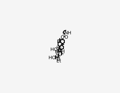 CCO[C@@H]([C@H]1C[C@@H](C)[C@H]2[C@H](O1)[C@H](O)[C@@]1(C)[C@@H]3CC[C@H]4C(C)(C)[C@@H](OC(=O)[C@@H]5CCCN5)CCC45C[C@@]35CC[C@]21C)C(C)(C)O